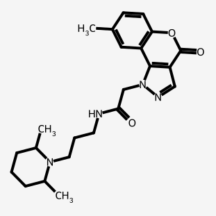 Cc1ccc2oc(=O)c3cnn(CC(=O)NCCCN4C(C)CCCC4C)c3c2c1